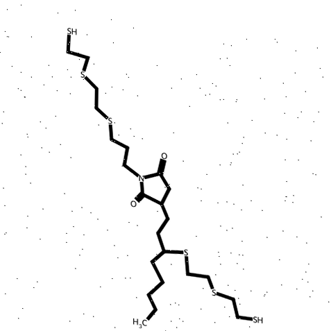 CCCCCC(CCC1CC(=O)N(CCCSCCSCCS)C1=O)SCCSCCS